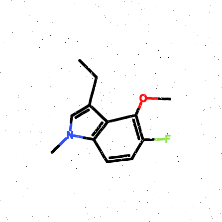 CCc1cn(C)c2ccc(F)c(OC)c12